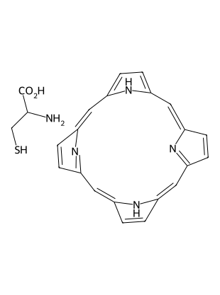 C1=Cc2cc3ccc(cc4nc(cc5ccc(cc1n2)[nH]5)C=C4)[nH]3.NC(CS)C(=O)O